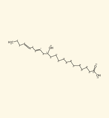 CCCC=CCC=CCC(O)CCCCCCCCCCCC(=O)O